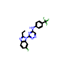 CCc1nc2ccc(F)cc2n1-c1nncc(Nc2ccc(C(F)(F)F)cc2)n1